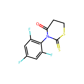 O=C1CCSC(=S)N1c1c(F)cc(F)cc1F